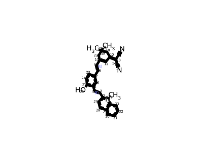 C[n+]1c(/C=C/c2cc(/C=C/C3=CC(=C(C#N)C#N)CC(C)(C)C3)ccc2O)ccc2ccccc21